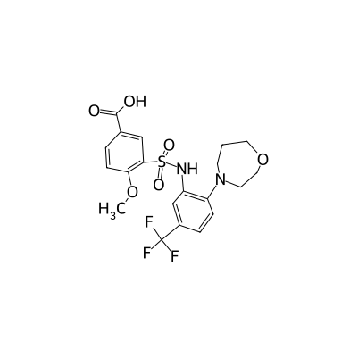 COc1ccc(C(=O)O)cc1S(=O)(=O)Nc1cc(C(F)(F)F)ccc1N1CCCOCC1